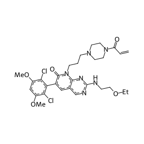 C=CC(=O)N1CCN(CCCn2c(=O)c(-c3c(Cl)c(OC)cc(OC)c3Cl)cc3cnc(NCCOCC)nc32)CC1